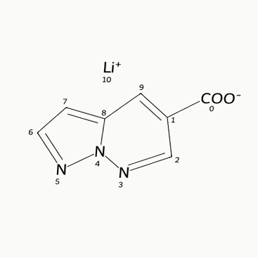 O=C([O-])c1cnn2nccc2c1.[Li+]